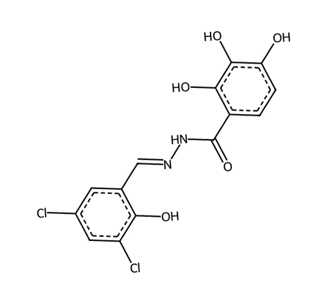 O=C(N/N=C/c1cc(Cl)cc(Cl)c1O)c1ccc(O)c(O)c1O